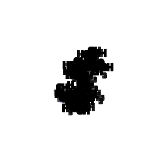 CC(=O)OC1C(OC(=O)/C=C\c2ccc(C)cc2)C(C)OC(OC(=O)[C@]23CCC(C)(C)C[C@H]2C2C=C[C@@H]4[C@@]5(C)CC[C@H](OC6CC(C(C)CCC(=O)O)C(O)C(OC7OCC(O)C(O)C7O)C6OC6OC(CO)C(O)C(O)C6O)[C@@](C)(C=O)[C@@H]5CC[C@@]4(C)[C@]2(C)C[C@H]3O)C1OC1CC(C)C(O)C(O)C1O